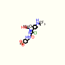 COc1cc(N[C@H](C)C(F)(F)F)ccc1-c1c(Cl)c(C(=O)NCC2CCC(S(C)(=O)=O)CC2)nn1CCO